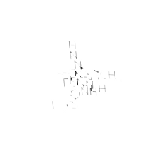 CC#CCN1c2c(nc(Nc3cccc(SC)c3)n(C)c2=O)N(OC(=O)C(F)(F)F)C1N1CCNCC1